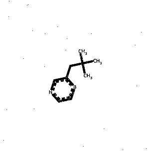 CC(C)(C)Cc1bccnc1